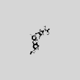 CCOc1cc2c(cn1)O[C@]1(C2)C[C@H](C)N(Cc2sc(NC(C)=O)nc2F)C1